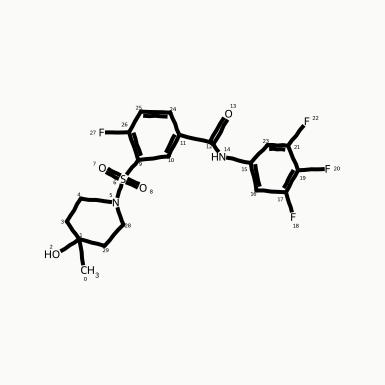 CC1(O)CCN(S(=O)(=O)c2cc(C(=O)Nc3cc(F)c(F)c(F)c3)ccc2F)CC1